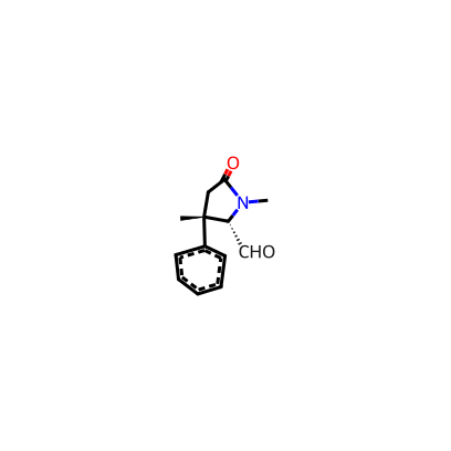 CN1C(=O)C[C@@](C)(c2ccccc2)[C@H]1C=O